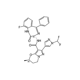 C[C@@H]1CCn2nc(-c3cnn(C(F)F)c3)c(C(=O)N[C@H]3N=C(c4ccccc4)c4cccc(F)c4NC3=O)c2O1